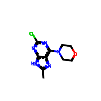 Cc1nc2c(N3CCOCC3)nc(Cl)nc2[nH]1